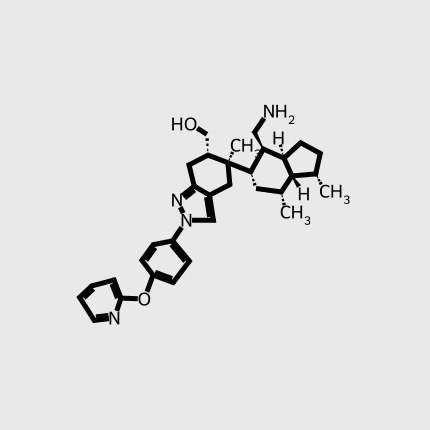 C[C@@H]1C[C@H]([C@@]2(C)Cc3cn(-c4ccc(Oc5ccccn5)cc4)nc3C[C@@H]2CO)[C@@H](CN)[C@H]2CC[C@H](C)[C@@H]21